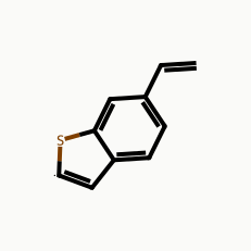 C=Cc1ccc2c[c]sc2c1